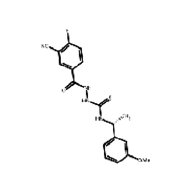 COc1cccc([C@@H](C)NC(=S)NNC(=O)c2ccc(F)c(C#N)c2)c1